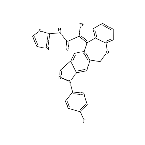 CCC(C(=O)Nc1nccs1)=C1c2cc3cnn(-c4ccc(F)cc4)c3cc2COc2ccccc21